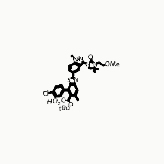 COCCN1C(=O)N(c2nn(C)c3ccc(-c4nc5cc(C)c([C@H](OC(C)(C)C)C(=O)O)c(-c6ccc(Cl)cc6)c5s4)cc23)CC1(C)C